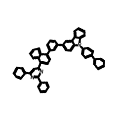 c1ccc(-c2ccc(-n3c4ccccc4c4cc(-c5cccc(-c6ccc(-c7cc(-c8ccccc8)nc(-c8ccccc8)n7)c7ccccc67)c5)ccc43)cc2)cc1